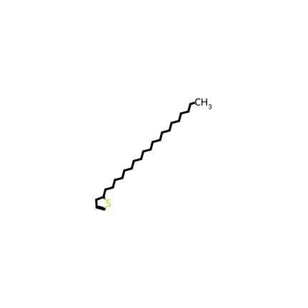 CCCCCCCCCCCCCCCCCCCCC1CC=CS1